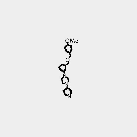 COc1ccc(COCc2cccc(N3CCN(c4ccncc4)CC3)c2)cc1